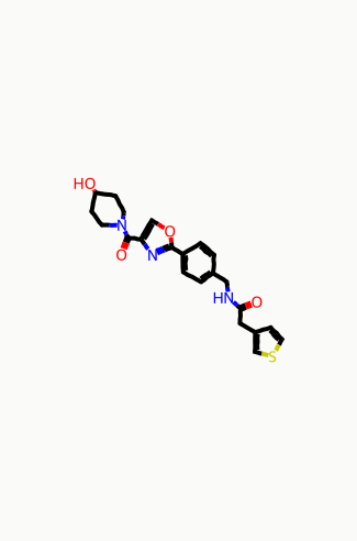 O=C(Cc1ccsc1)NCc1ccc(-c2nc(C(=O)N3CCC(O)CC3)co2)cc1